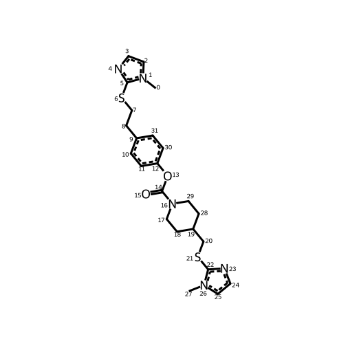 Cn1ccnc1SCCc1ccc(OC(=O)N2CCC(CSc3nccn3C)CC2)cc1